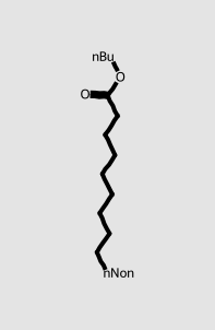 [CH2]CCCOC(=O)CCCCCCCCCCCCCCCCC